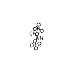 c1ccc2c(c1)-c1cc(Nc3ccc4c(c3)C3(c5ccccc5-c5ccccc53)c3ccccc3-4)cc3c1-c1c(ccc4c5ccccc5n-2c14)C31CCCCC1